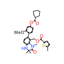 COc1cc(OC(=O)C2CCCCC2)ccc1-c1ccc2c(c1COC(=O)c1ccc(C)s1)N(C)C(=O)C(C)(C)N2